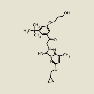 Cc1cc(OCC2CC2)nn2c(=N)n(CC(=O)c3cc(OCCCO)cc(C(C)(C)C)c3)nc12